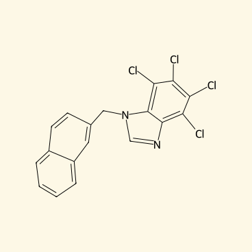 Clc1c(Cl)c(Cl)c2c(ncn2Cc2ccc3ccccc3c2)c1Cl